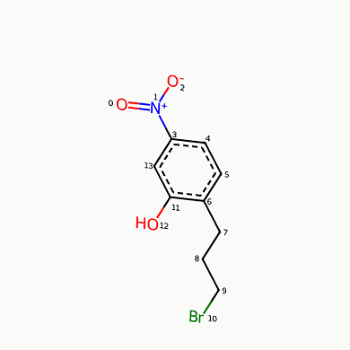 O=[N+]([O-])c1ccc(CCCBr)c(O)c1